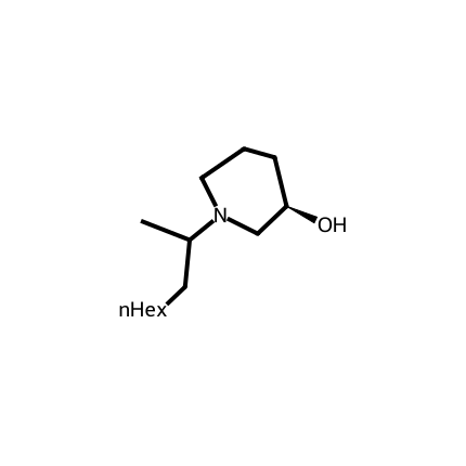 CCCCCCCC(C)N1CCC[C@@H](O)C1